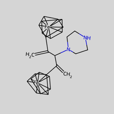 C=C(C(C(=C)[C]12[CH]3[CH]4[CH]5[CH]1[Fe]45321678[CH]2[CH]1[CH]6[CH]7[CH]28)N1CCNCC1)[C]12[CH]3[CH]4[CH]5[CH]1[Fe]45321678[CH]2[CH]1[CH]6[CH]7[CH]28